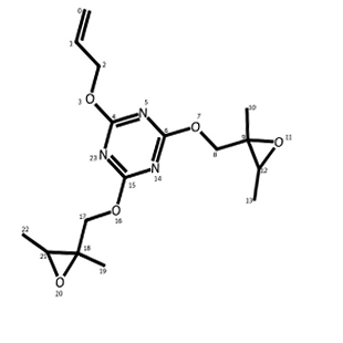 C=CCOc1nc(OCC2(C)OC2C)nc(OCC2(C)OC2C)n1